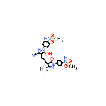 CC1=NN(c2ccc(NS(C)(=O)=O)cc2)C(=O)/C1=C\C=Cc1c(C#N)nn(-c2ccc(NS(C)(=O)=O)cc2)c1O